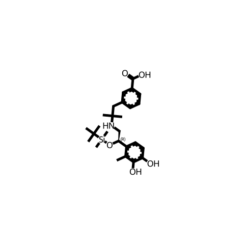 Cc1c([C@H](CNC(C)(C)Cc2cccc(C(=O)O)c2)O[Si](C)(C)C(C)(C)C)ccc(O)c1O